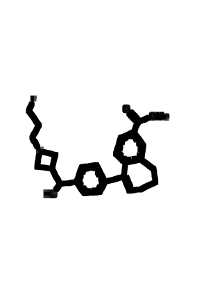 COC(=O)c1ccc2c(c1)CCCC=C2c1ccc(C(O)C2CN(CCCF)C2)cc1